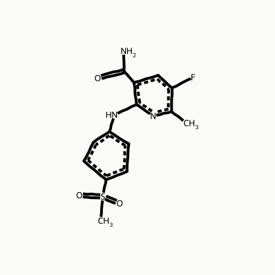 Cc1nc(Nc2ccc(S(C)(=O)=O)cc2)c(C(N)=O)cc1F